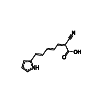 N#CC(=CC=CC=Cc1ccc[nH]1)C(=O)O